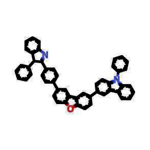 c1ccc(C2C(c3ccc(-c4ccc5oc6ccc(-c7ccc8c(c7)c7ccccc7n8-c7ccccc7)cc6c5c4)cc3)=Nc3ccccc32)cc1